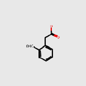 [O]C(=O)Cc1ccccc1C=O